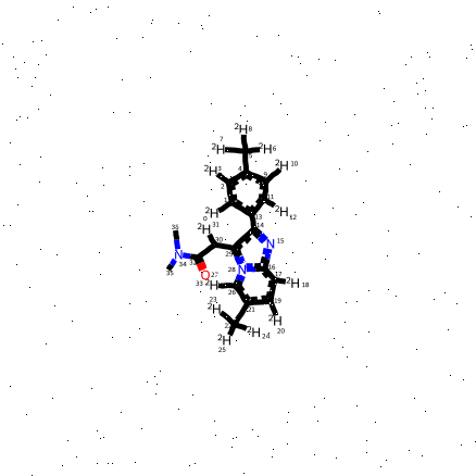 [2H]c1c([2H])c(C([2H])([2H])[2H])c([2H])c([2H])c1-c1nc2c([2H])c([2H])c(C([2H])([2H])[2H])c([2H])n2c1C([2H])C(=O)N(C)C